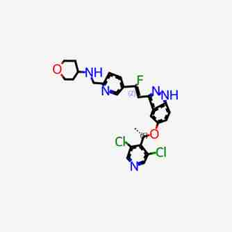 C[C@H](Oc1ccc2[nH]nc(/C=C(\F)c3ccc(CNC4CCOCC4)nc3)c2c1)c1c(Cl)cncc1Cl